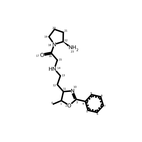 CC1OC(c2ccccc2)=NC1CCNCC(=O)N1CCC[C@H]1N